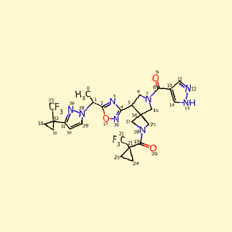 CC(c1nc(C2CN(C(=O)c3cn[nH]c3)CC23CN(C(=O)C2(C(F)(F)F)CC2)C3)no1)n1ccc(C2(C(F)(F)F)CC2)n1